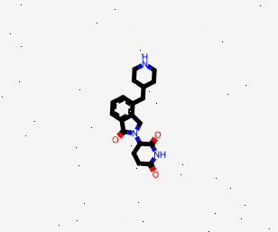 O=C1CCC(N2Cc3c(CC4CCNCC4)cccc3C2=O)C(=O)N1